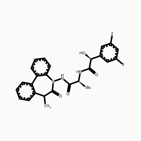 CC1C(=O)N(NC(=O)[C@@H](NC(=O)[C@@H](O)c2cc(F)cc(F)c2)C(C)(C)C)c2ccccc2-c2ccccc21